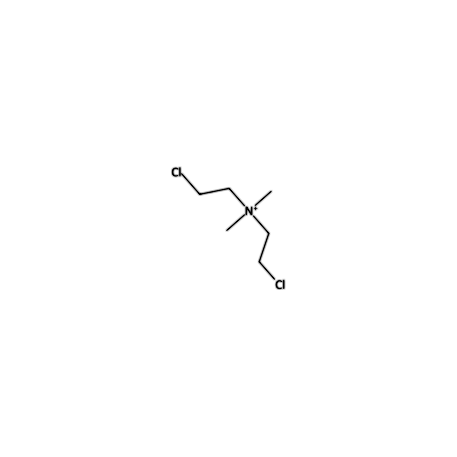 C[N+](C)(CCCl)CCCl